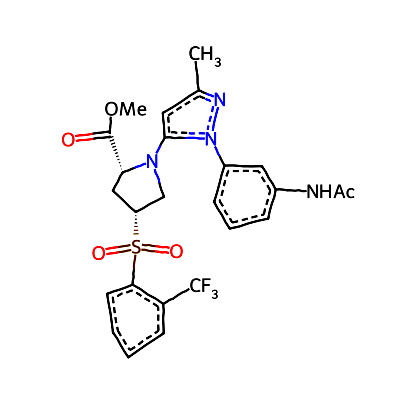 COC(=O)[C@H]1C[C@@H](S(=O)(=O)c2ccccc2C(F)(F)F)CN1c1cc(C)nn1-c1cccc(NC(C)=O)c1